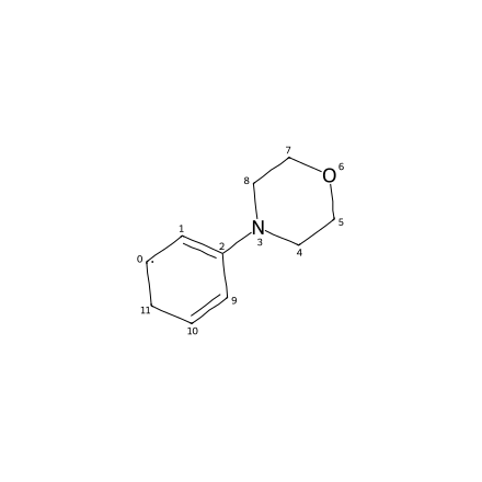 [CH]1C=C(N2CCOCC2)C=CC1